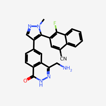 Cn1ncc(-c2ccc3c(=O)[nH]nc(CN)c3c2)c1-c1cc(C#N)c2ccccc2c1F